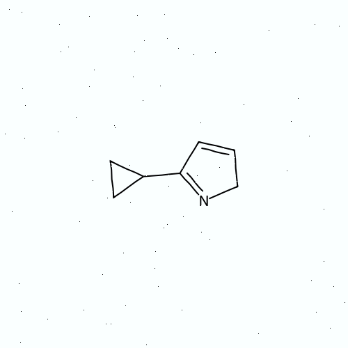 C1=CC(C2CC2)=NC1